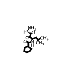 CC(C)CC(NC(=O)C1CCCCC1)C(=O)C(=O)NN